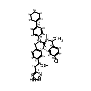 C[C@H](NC(=O)N(Cc1ccc([C@H](O)Cc2nn[nH]n2)cc1)c1ccc(C2=CCCCC2)cc1)c1ccc(Cl)cc1